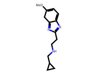 COC1=CC=C2N=C(CCNCC3CC3)N=C2C1